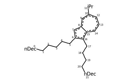 CCCCCCCCCCCCCCCc1cc2cc(C(C)C)cccc-2c1CCCCCCCCCCCCCC